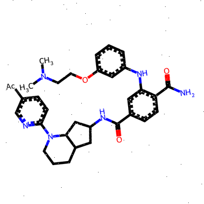 CC(=O)c1ccc(N2CCCC3CC(NC(=O)c4ccc(C(N)=O)c(Nc5cccc(OCCN(C)C)c5)c4)CC32)nc1